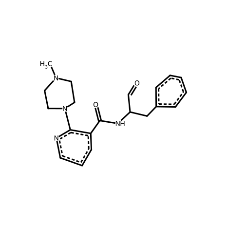 CN1CCN(c2ncccc2C(=O)NC(C=O)Cc2ccccc2)CC1